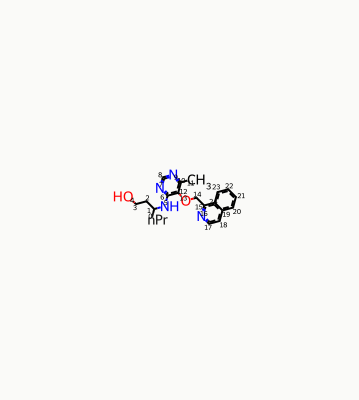 CCCC(CCO)Nc1ncnc(C)c1OCc1nccc2ccccc12